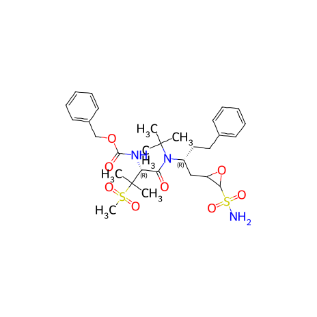 CC(C)(C)N(C(=O)[C@@H](NC(=O)OCc1ccccc1)C(C)(C)S(C)(=O)=O)[C@H](CCc1ccccc1)CC1OC1S(N)(=O)=O